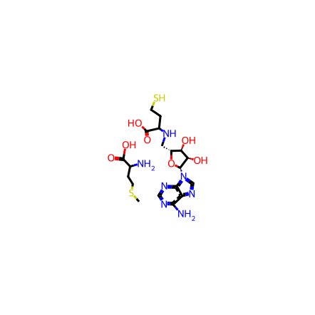 CSCCC(N)C(=O)O.Nc1ncnc2c1ncn2[C@@H]1O[C@H](CNC(CCS)C(=O)O)[C@@H](O)[C@H]1O